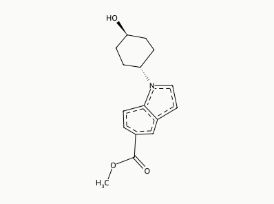 COC(=O)c1ccc2c(ccn2[C@H]2CC[C@H](O)CC2)c1